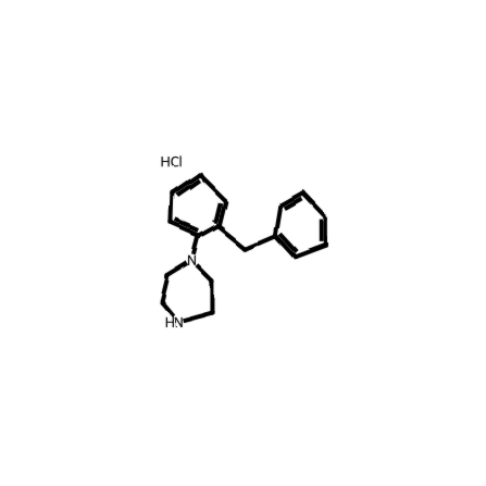 Cl.c1ccc(Cc2ccccc2N2CCNCC2)cc1